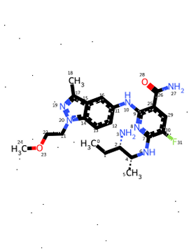 CC[C@H](N)[C@@H](C)Nc1nc(Nc2ccc3c(c2)c(C)nn3CCOC)c(C(N)=O)cc1F